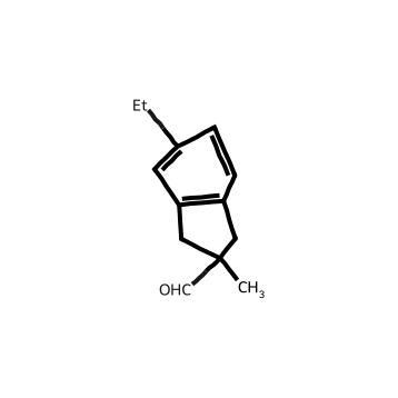 CCc1ccc2c(c1)CC(C)(C=O)C2